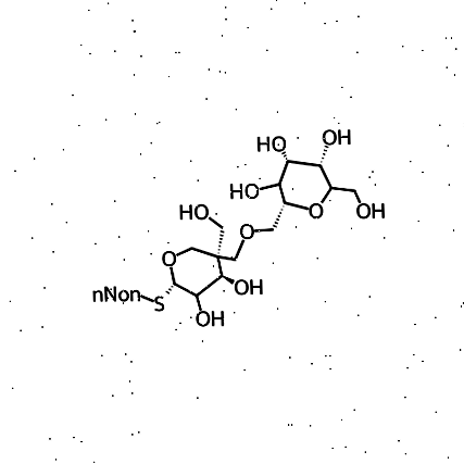 CCCCCCCCCS[C@@H]1OC[C@@](CO)(COC[C@H]2OC(CO)[C@@H](O)[C@@H](O)C2O)[C@@H](O)C1O